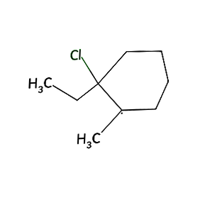 CCC1(Cl)CCCC[C]1C